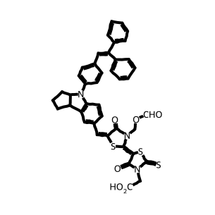 O=COCn1c(=O)/c(=C\c2ccc3c(c2)C2CCCC2N3c2ccc(C=C(c3ccccc3)c3ccccc3)cc2)s/c1=C1/SC(=S)N(CC(=O)O)C1=O